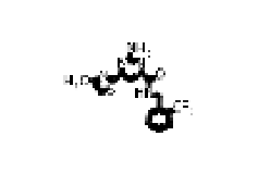 Cc1csc(-c2cc(C(=O)NCc3ccccc3C(F)(F)F)nc(N)n2)n1